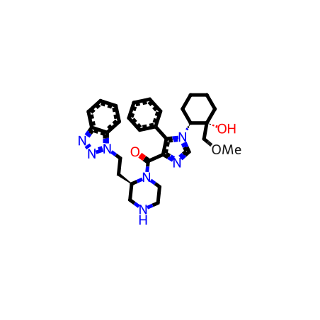 COC[C@]1(O)CCCC[C@H]1n1cnc(C(=O)N2CCNC[C@H]2CCn2nnc3ccccc32)c1-c1ccccc1